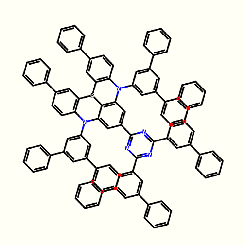 c1ccc(-c2cc(-c3ccccc3)cc(-c3nc(-c4cc(-c5ccccc5)cc(-c5ccccc5)c4)nc(-c4cc5c6c(c4)N(c4cc(-c7ccccc7)cc(-c7ccccc7)c4)c4ccc(-c7ccccc7)cc4B6c4cc(-c6ccccc6)ccc4N5c4cc(-c5ccccc5)cc(-c5ccccc5)c4)n3)c2)cc1